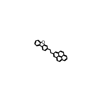 c1cc2ccc3cc(CCc4ccc5c(c4)oc4ccccc45)cc4ccc(c1)c2c34